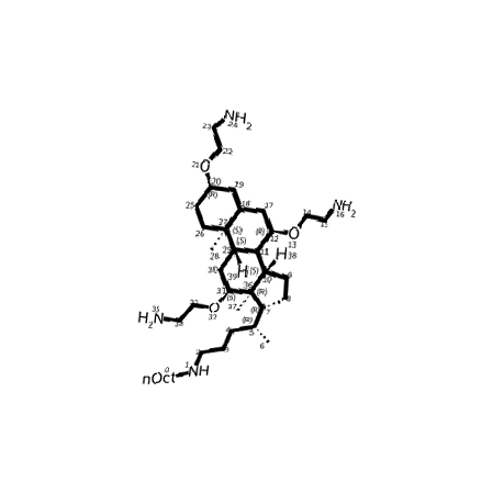 CCCCCCCCNCCC[C@@H](C)[C@H]1CC[C@H]2C3[C@H](OCCN)CC4C[C@H](OCCN)CC[C@]4(C)[C@H]3C[C@H](OCCN)[C@]12C